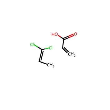 C=CC(=O)O.CC=C(Cl)Cl